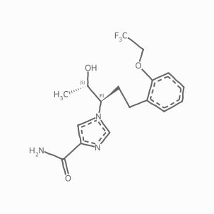 C[C@H](O)[C@@H](CCc1ccccc1OCC(F)(F)F)n1cnc(C(N)=O)c1